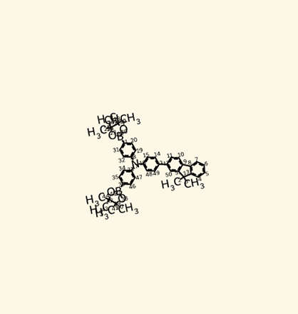 CC1(C)c2ccccc2-c2ccc(-c3ccc(N(c4ccc(B5OC(C)(C)C(C)(C)O5)cc4)c4ccc(B5OC(C)(C)C(C)(C)O5)cc4)cc3)cc21